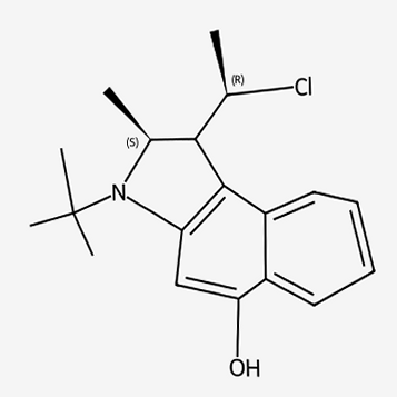 C[C@@H](Cl)C1c2c(cc(O)c3ccccc23)N(C(C)(C)C)[C@H]1C